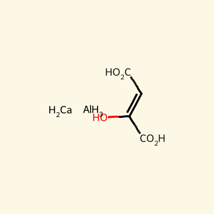 O=C(O)C=C(O)C(=O)O.[AlH3].[CaH2]